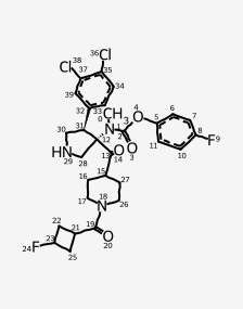 CN(C(=O)Oc1ccc(F)cc1)[C@]1(C(=O)C2CCN(C(=O)C3CC(F)C3)CC2)CNC[C@H]1c1ccc(Cl)c(Cl)c1